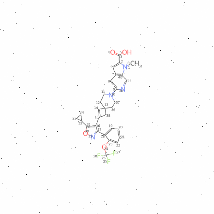 Cn1c(C(=O)O)cc2cc(N3CCC4(C=C(c5c(-c6ccccc6OC(F)(F)F)noc5C5CC5)C4)CC3)ncc21